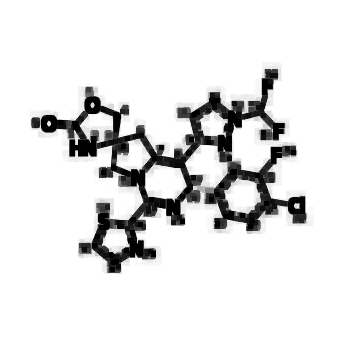 O=C1N[C@]2(CO1)CC1=C(c3ccn(C(F)F)n3)[C@H](c3ccc(Cl)c(F)c3)N=C(c3nccs3)N1C2